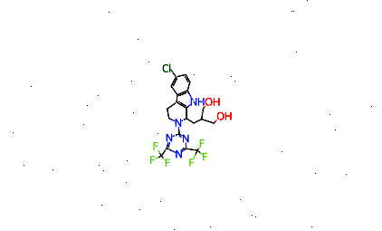 OCC(CO)CC1c2[nH]c3ccc(Cl)cc3c2CCN1c1nc(C(F)(F)F)nc(C(F)(F)F)n1